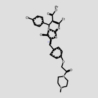 CCC1=C(C(=O)OC(C)C)C(c2ccc(Cl)cc2)n2c(s/c(=C\c3ccc(OCC(=O)N4CCN(C)CC4)cc3)c2=O)=N1